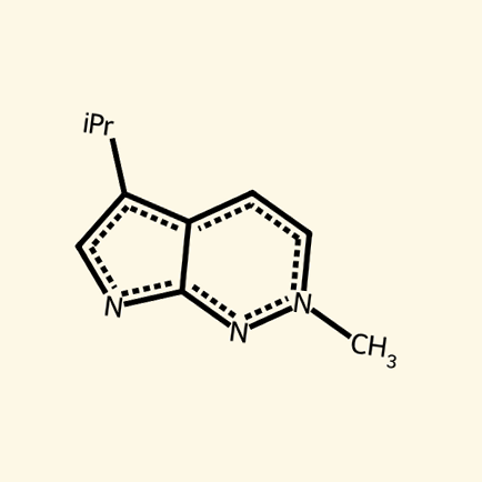 CC(C)c1cnc2nn(C)ccc1-2